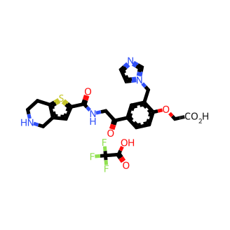 O=C(O)C(F)(F)F.O=C(O)COc1ccc(C(=O)CNC(=O)c2cc3c(s2)CCNC3)cc1Cn1ccnc1